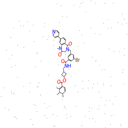 CC1=C(C(=O)OC2CC(CNC(=O)c3cc(Br)cc(CN4C(=O)c5ccc(-c6ccncc6)cc5N(C)C(=O)[C@H]4C)c3)C2)C=CC(C)C1C